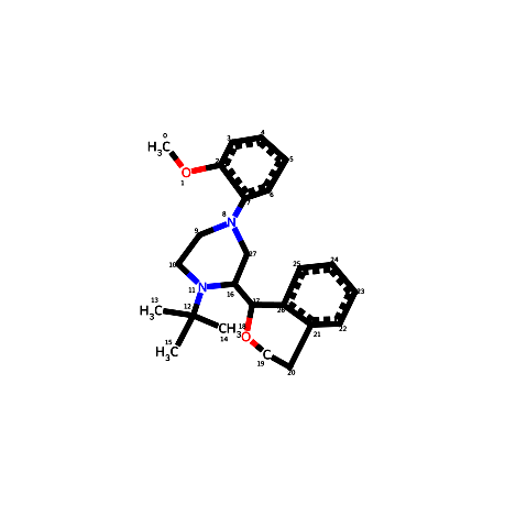 COc1ccccc1N1CCN(C(C)(C)C)C(C2OCCc3ccccc32)C1